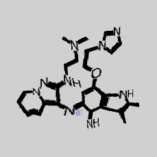 Cc1[nH]c2c(c1C)C(=N)/C(=N/c1c(NCCN(C)C)nn3ccccc13)C=C2OCCn1ccnc1